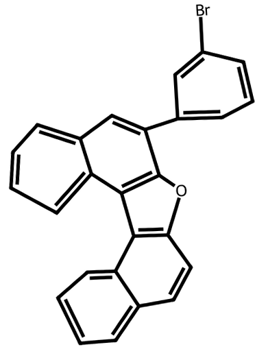 Brc1cccc(-c2cc3ccccc3c3c2oc2ccc4ccccc4c23)c1